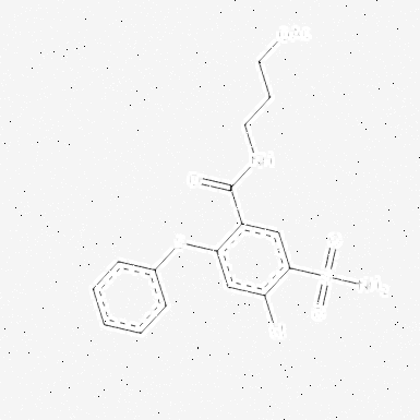 CC(=O)OCCCNC(=O)c1cc(S(N)(=O)=O)c(Cl)cc1Sc1ccccc1